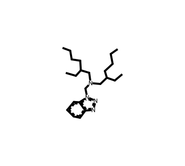 CCCCC(CC)CN(CC(CC)CCCC)Cn1nnc2ccccc21